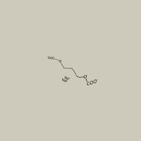 O=C([O-])OCCCOC(=O)[O-].[Na+].[Na+]